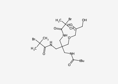 CC(C)(C)C(=O)NCC(CNC(=O)C(C)(C)Br)(CNC(=O)C(C)(C)Br)COCC(O)CO